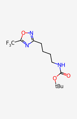 CC(C)(C)OC(=O)NCCCCc1noc(C(F)(F)F)n1